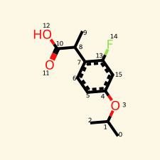 CC(C)Oc1ccc(C(C)C(=O)O)c(F)c1